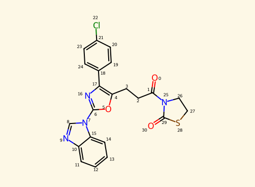 O=C(CCc1oc(-n2cnc3ccccc32)nc1-c1ccc(Cl)cc1)N1CCSC1=O